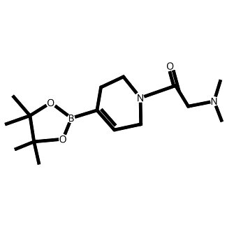 CN(C)CC(=O)N1CC=C(B2OC(C)(C)C(C)(C)O2)CC1